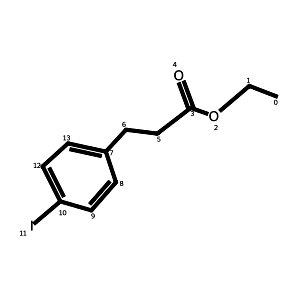 CCOC(=O)CCc1ccc(I)cc1